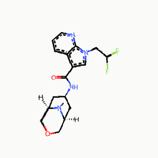 CN1[C@@H]2COC[C@H]1C[C@@H](NC(=O)c1cn(CC(F)F)c3ncccc13)C2